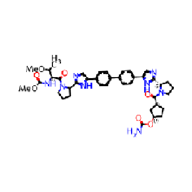 COC(=O)N[C@H](C(=O)N1CCCC1c1ncc(-c2ccc(-c3ccc(-c4cnc([C@@H]5CCCN5C(=O)[C@H]5CC[C@@H](OC(N)=O)C5)[nH]4)cc3)cc2)[nH]1)C(C)OC